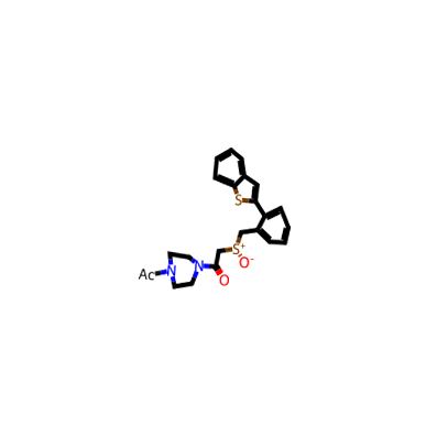 CC(=O)N1CCN(C(=O)C[S+]([O-])Cc2ccccc2-c2cc3ccccc3s2)CC1